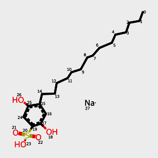 CCCCCCCCCCCCCCCc1cc(O)c(S(=O)(=O)O)cc1O.[Na]